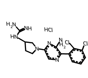 Cl.N=C(N)NC1CCN(c2cnc(-c3cccc(Cl)c3Cl)c(N)n2)C1